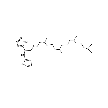 CC(=CCSCC(Nc1ccc(C)[nH]1)c1nnn[nH]1)CCCC(C)CCCC(C)CCCC(C)C